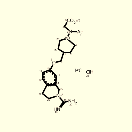 CCOC(=O)CN(C(C)=O)N1CCC(COc2ccc3c(c2)CN(C(=N)N)CC3)CC1.Cl.Cl